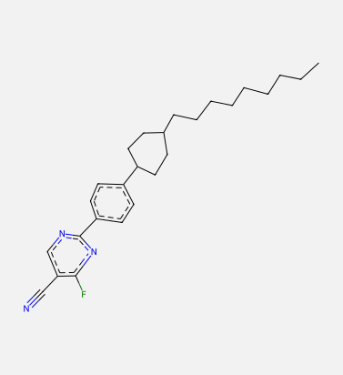 CCCCCCCCCC1CCC(c2ccc(-c3ncc(C#N)c(F)n3)cc2)CC1